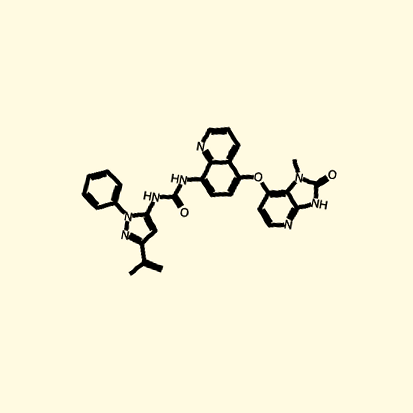 C=C(C)c1cc(NC(=O)Nc2ccc(Oc3ccnc4[nH]c(=O)n(C)c34)c3cccnc23)n(-c2ccccc2)n1